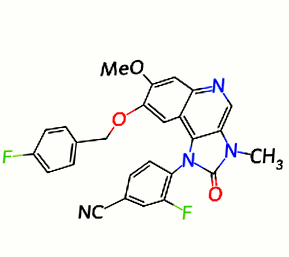 COc1cc2ncc3c(c2cc1OCc1ccc(F)cc1)n(-c1ccc(C#N)cc1F)c(=O)n3C